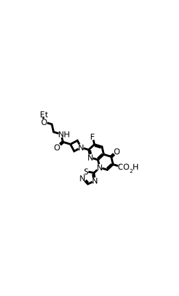 CCOCCNC(=O)C1CN(c2nc3c(cc2F)c(=O)c(C(=O)O)cn3-c2ncns2)C1